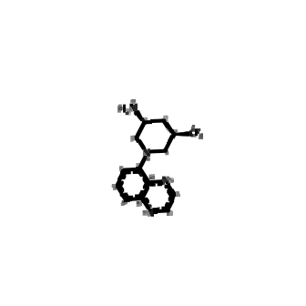 N[C@H]1C[C@@H](C(F)(F)F)CN(c2cccc3nccnc23)C1